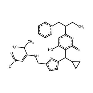 CCC(Cc1ccccc1)c1cc(O)c(C(c2ccc(CNC(=C[N+](=O)[O-])C(C)C)s2)C2CC2)c(=O)o1